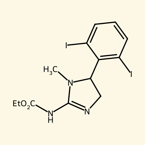 CCOC(=O)NC1=NCC(c2c(I)cccc2I)N1C